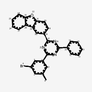 Cc1cc(Br)cc(-c2nc(-c3ccccc3)nc(-c3ccc4oc5ccccc5c4c3)n2)c1